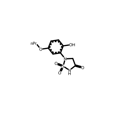 CCCOc1ccc(O)c(N2CC(=O)NS2(=O)=O)c1